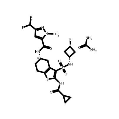 Cn1nc(C(F)F)cc1C(=S)N[C@H]1CCc2sc(NC(=O)C3CC3)c(S(=O)(=O)N[C@H]3C[C@H](F)C3)c2C1.NC(N)=S